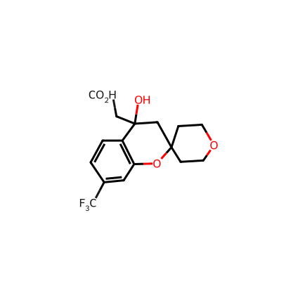 O=C(O)CC1(O)CC2(CCOCC2)Oc2cc(C(F)(F)F)ccc21